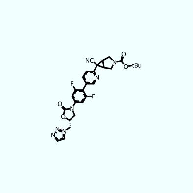 CC(C)(C)OC(=O)N1CC2C(C1)C2(C#N)c1ccc(-c2c(F)cc(N3C[C@H](Cn4ccnn4)OC3=O)cc2F)cn1